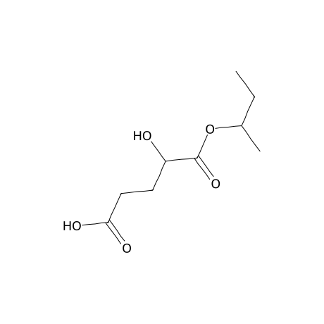 CCC(C)OC(=O)C(O)CCC(=O)O